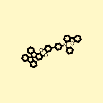 c1ccc(N(c2ccc(-c3ccc4c(c3)Oc3ccc5c(c3O4)-c3ccccc3C53c4ccccc4-c4ccccc43)cc2)c2cccc3c2oc2ccccc23)cc1